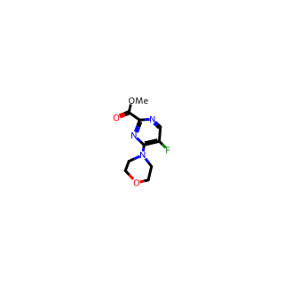 COC(=O)c1ncc(F)c(N2CCOCC2)n1